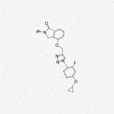 CC(C)N1Cc2c(OCc3cn(-c4ccc(OC5CC5)cc4F)nn3)cccc2C1=O